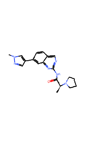 C[C@@H](C(=O)Nc1ncc2ccc(-c3cnn(C)c3)cc2n1)N1CCCC1